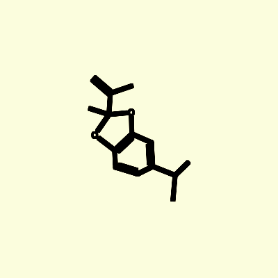 C=C(C)C1(C)Oc2ccc(C(C)C)cc2O1